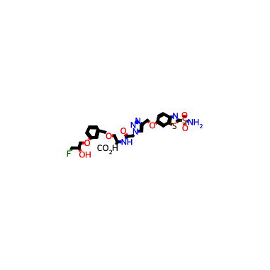 NS(=O)(=O)c1nc2ccc(OCc3cn(CC(=O)NC(COCc4cccc(OCC(O)CF)c4)C(=O)O)nn3)cc2s1